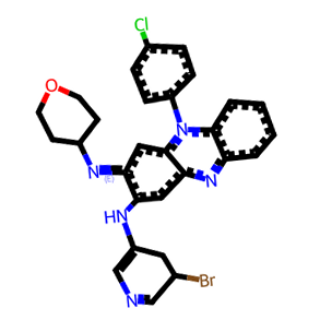 Clc1ccc(-n2c3c/c(=N\C4CCOCC4)c(NC4=CN=CC(Br)C4)cc-3nc3ccccc32)cc1